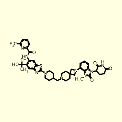 Cn1c(=O)n(C2CCC(=O)NC2=O)c2cccc(N3CC4(CCN(CC5CCN(c6nc7cc(C(C)(C)O)c(NC(=O)c8cccc(C(F)(F)F)n8)cc7s6)CC5)CC4)C3)c21